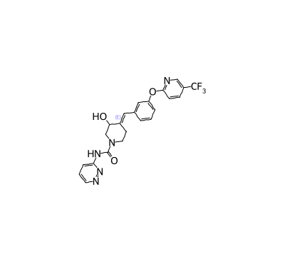 O=C(Nc1cccnn1)N1CC/C(=C\c2cccc(Oc3ccc(C(F)(F)F)cn3)c2)C(O)C1